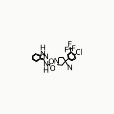 N#CC1(c2ccc(Cl)c(C(F)(F)F)c2)CCN(OC(=O)Nc2n[nH]c3ccccc23)CC1